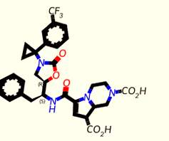 O=C(N[C@@H](Cc1ccccc1)[C@H]1CN(C2(c3cccc(C(F)(F)F)c3)CC2)C(=O)O1)C1=CC(C(=O)O)C2CN(C(=O)O)CCN12